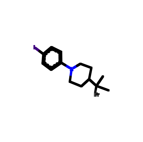 CC(C)C(C)(C)C1CCN(c2ccc(I)cc2)CC1